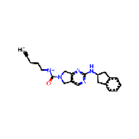 C#CCCCNC(=O)N1Cc2cnc(NC3Cc4ccccc4C3)nc2C1